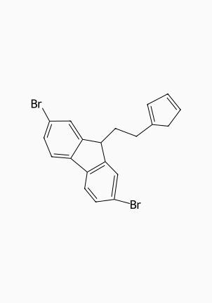 Brc1ccc2c(c1)C(CCC1=CC=CC1)c1cc(Br)ccc1-2